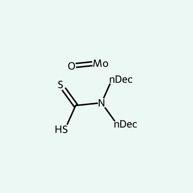 CCCCCCCCCCN(CCCCCCCCCC)C(=S)S.[O]=[Mo]